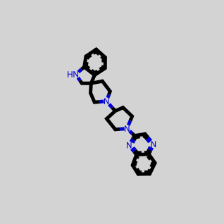 c1ccc2c(c1)NCC21CCN(C2CCN(c3cnc4ccccc4n3)CC2)CC1